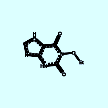 CCOn1c(=O)[nH]c2nc[nH]c2c1=O